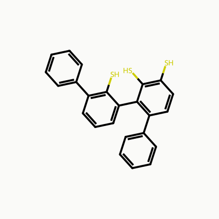 Sc1ccc(-c2ccccc2)c(-c2cccc(-c3ccccc3)c2S)c1S